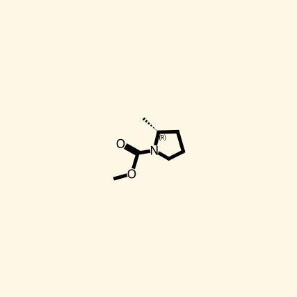 COC(=O)N1CCC[C@H]1C